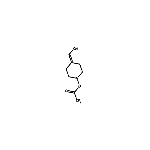 N#CC=C1CCN(OC(=O)C(F)(F)F)CC1